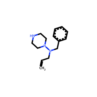 C=CCN(Cc1ccccc1)N1CCNCC1